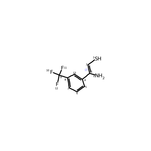 N/C(=C\S)c1cccc(C(F)(F)F)c1